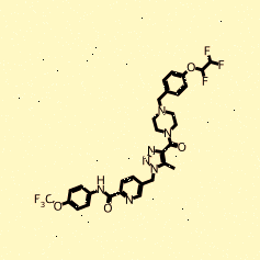 Cc1c(C(=O)N2CCN(Cc3ccc(OC(F)C(F)F)cc3)CC2)nnn1Cc1ccc(C(=O)Nc2ccc(OC(F)(F)F)cc2)nc1